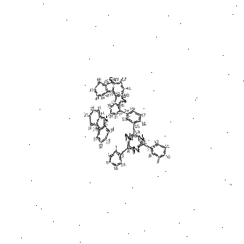 c1ccc(-c2nc(-c3ccccc3)nc(-c3cccc(-c4cc(-n5c6ccccc6c6ccccc65)cc5c4sc4ccc6sc7ccccc7c6c45)c3)n2)cc1